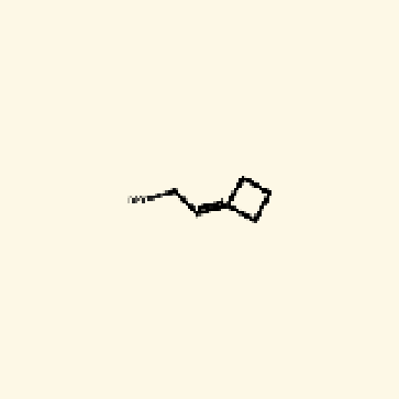 CCCC[C]=C1CCC1